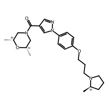 C[C@@H]1CN(C(=O)c2cnn(-c3ccc(OCCCN4CCC[C@H]4C)cc3)c2)C[C@H](C)O1